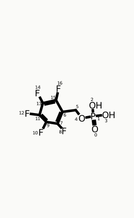 O=P(O)(O)OCc1c(F)c(F)c(F)c(F)c1F